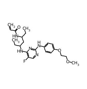 C=CC(=O)NC(CC)CC(CC)Nc1nc(Nc2ccc(OCCOC)cc2)ncc1F